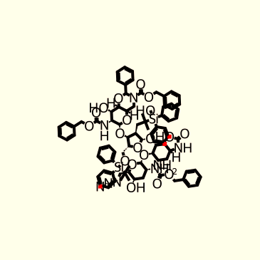 CC(C)(C[C@H]1[C@H](O[C@@H]2[C@H]3OC(=O)N[C@@H]3C[C@H](N)[C@H]2O[C@H]2O[C@H](CN=[N+]=[N-])[C@@H](O)C[C@H]2NC(=O)OCc2ccccc2)O[C@H](CO[Si](c2ccccc2)(c2ccccc2)C(C)(C)C)[C@H]1O[C@H]1O[C@H]2CN(C(=O)OCc3ccccc3)C(c3ccccc3)O[C@H]2[C@H](O)[C@H]1NC(=O)OCc1ccccc1)[Si](O)(c1ccccc1)c1ccccc1